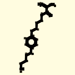 C=C(C)C(=O)OCCSCc1ccc(CSCCO)cc1